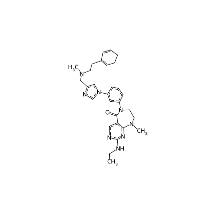 CCNc1ncc2c(n1)N(C)CCN(c1cccc(-n3cnc(CN(C)CCC4=CCCC=C4)c3)c1)C2=O